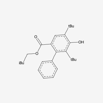 CCC(C)COC(=O)c1cc(C(C)(C)C)c(O)c(C(C)(C)C)c1-c1ccccc1